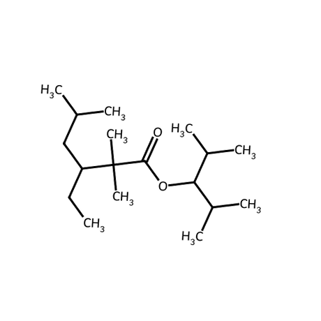 CCC(CC(C)C)C(C)(C)C(=O)OC(C(C)C)C(C)C